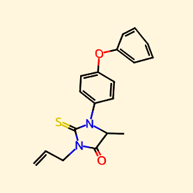 C=CCN1C(=O)C(C)N(c2ccc(Oc3ccccc3)cc2)C1=S